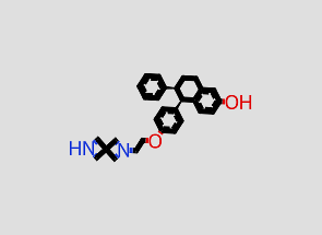 Oc1ccc2c(c1)CC[C@H](c1ccccc1)[C@@H]2c1ccc(OCCN2CC3(CNC3)C2)cc1